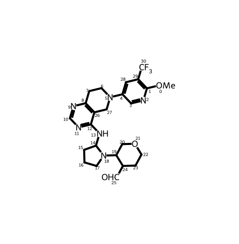 COc1ncc(N2CCc3ncnc(NC4CCCN4C4COCCC4C=O)c3C2)cc1C(F)(F)F